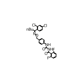 CCCCC(=NOCc1ccc(NC(=O)NC(=O)c2c(F)cccc2F)cc1)c1ccc(Cl)cc1Cl